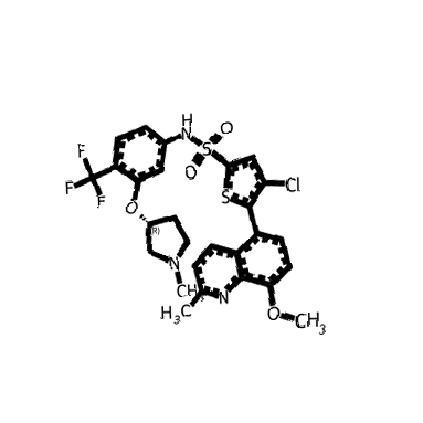 COc1ccc(-c2sc(S(=O)(=O)Nc3ccc(C(F)(F)F)c(O[C@@H]4CCN(C)C4)c3)cc2Cl)c2ccc(C)nc12